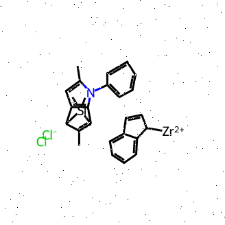 CC1=C2c3c(cc(C)n3-c3ccccc3)C1[Si]2(C)C.[Cl-].[Cl-].[Zr+2][CH]1C=Cc2ccccc21